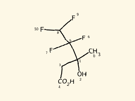 CC(O)(CC(=O)O)C(F)(F)C(F)F